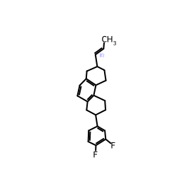 C/C=C/C1CCc2c(ccc3c2CCC(c2ccc(F)c(F)c2)C3)C1